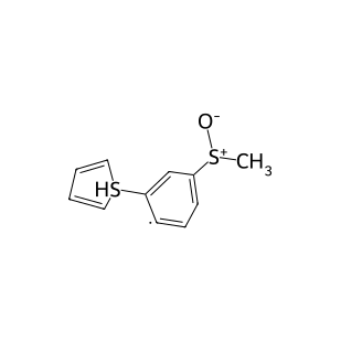 C[S+]([O-])c1cc[c]c([SH]2C=CC=C2)c1